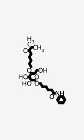 CC(C)C(=O)CCCCCO[C@@H]1C(CO)O[C@H](OCCCCCC(=O)Nc2ccccc2)C(O)[C@@H]1O